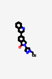 N#CCn1cc(N2Cc3cc(-c4cnc5ccccc5c4)ccc3C2=O)cn1